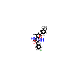 CC(C=Cc1cccc(C#N)c1)C1NC(=O)C(C)(Cc2ccc(F)cc2)NC1=O